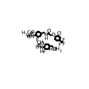 CS(=O)(=O)Nc1ccc(CN)cc1F.CS(=O)(=O)Nc1ccc(CNC(=O)COc2ccc(C(F)(F)F)cc2Cl)cc1F.Cl